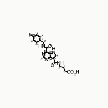 O=C(O)CCCNC(=O)c1c[nH]c2c(C(=O)NCc3ccc(F)cc3)ncnc12